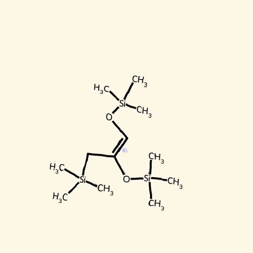 C[Si](C)(C)C/C(=C\O[Si](C)(C)C)O[Si](C)(C)C